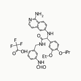 CCOc1cc(C(Nc2ccc3c(N)nccc3c2)C(=O)NCc2cccc(NC=O)c2)ccc1OC(C)C.O=C(O)C(F)(F)F